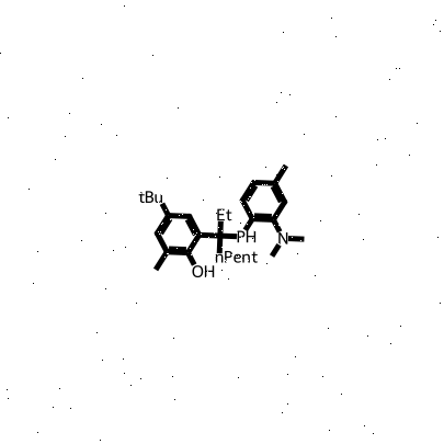 CCCCCC(CC)(Pc1ccc(C)cc1N(C)C)c1cc(C(C)(C)C)cc(C)c1O